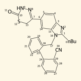 CCCCc1nc2ccc(C3=NNC(=O)SC3)cc2n1Cc1ccccc1-c1ccccc1C#N